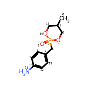 CC1COP(=O)(Cc2ccc(N)cc2)OC1